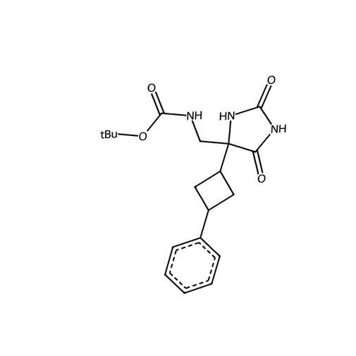 CC(C)(C)OC(=O)NCC1(C2CC(c3ccccc3)C2)NC(=O)NC1=O